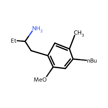 CCCCc1cc(OC)c(CC(N)CC)cc1C